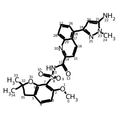 COc1ccc2c(c1S(=O)(=O)NC(=O)c1ccc3c(-c4cc(N)n(C)n4)cccc3n1)OC(C)(C)C2